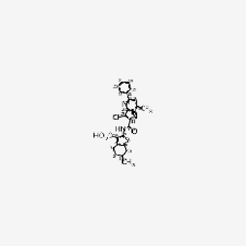 CC1CCc2c(sc(NC(=O)c3nn4c(C(F)(F)F)cc(-c5ccccc5)nc4c3Cl)c2C(=O)O)C1